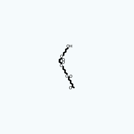 CC(=O)CCCCC(=O)OCCCCCOC(=O)/C=C\C(=O)OCCCCCO